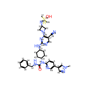 Cn1cc(-c2ccc(N(C(=O)NCc3ccccc3)[C@H]3CC[C@H](Nc4ncc(C#N)c(N5CC(N=[SH](C)(C)O)C5)n4)CC3)nc2)cn1